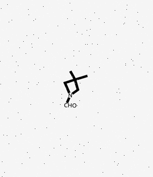 CC1(C)CN([C]=O)C1